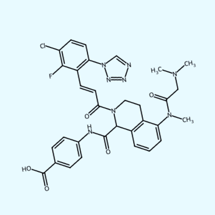 CN(C)CC(=O)N(C)c1cccc2c1CCN(C(=O)C=Cc1c(-n3cnnn3)ccc(Cl)c1F)C2C(=O)Nc1ccc(C(=O)O)cc1